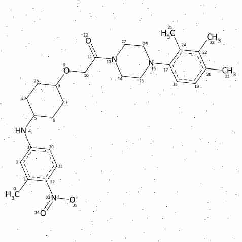 Cc1cc(NC2CCC(OCC(=O)N3CCN(c4ccc(C)c(C)c4C)CC3)CC2)ccc1[N+](=O)[O-]